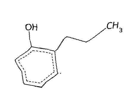 CCCc1[c]cccc1O